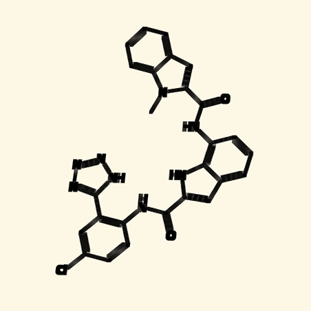 Cn1c(C(=O)Nc2cccc3cc(C(=O)Nc4ccc(Cl)cc4-c4nnn[nH]4)[nH]c23)cc2ccccc21